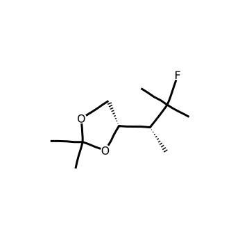 C[C@H]([C@H]1COC(C)(C)O1)C(C)(C)F